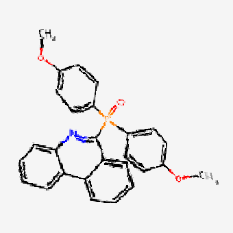 COc1ccc(P(=O)(c2ccc(OC)cc2)c2nc3ccccc3c3ccccc23)cc1